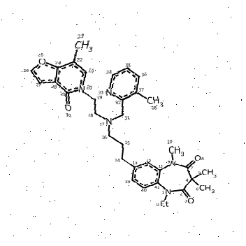 CCN1C(=O)C(C)(C)C(=O)N(C)c2cc(CCCN(CCn3cc(C)c4occc4c3=O)Cc3ncccc3C)ccc21